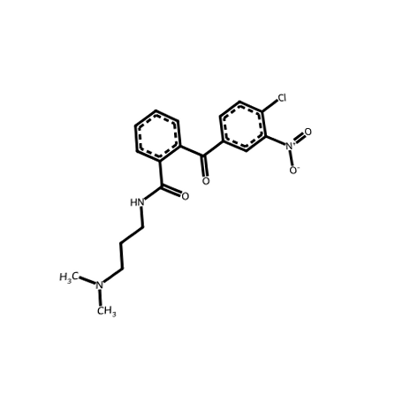 CN(C)CCCNC(=O)c1ccccc1C(=O)c1ccc(Cl)c([N+](=O)[O-])c1